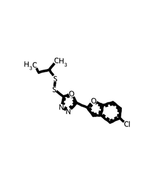 CCC(C)SSc1nnc(-c2cc3cc(Cl)ccc3o2)o1